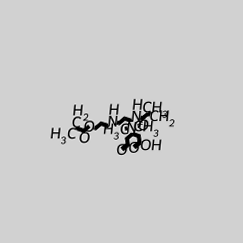 C=C(C)C(=O)NC(CCNCCCOC(=O)C(=C)C)[N+](C)(C)C(CC=O)CC(=O)O